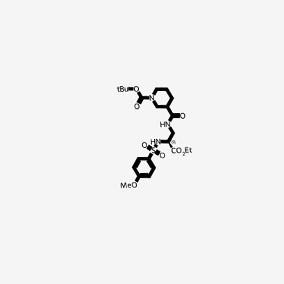 CCOC(=O)[C@H](CNC(=O)C1CCCN(C(=O)OC(C)(C)C)C1)NS(=O)(=O)c1ccc(OC)cc1